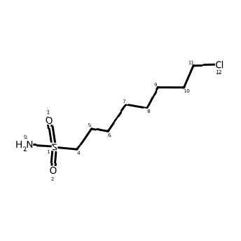 NS(=O)(=O)CCCCCCCCCl